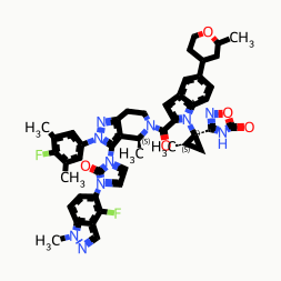 Cc1cc(-n2nc3c(c2-n2ccn(-c4ccc5c(cnn5C)c4F)c2=O)[C@H](C)N(C(=O)c2cc4cc(C5CCOC(C)C5)ccc4n2[C@@]2(c4noc(=O)[nH]4)C[C@@H]2C)CC3)cc(C)c1F